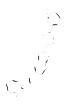 Cn1cccc(NC(=O)c2ccc3nn(C4CCC(c5cccnn5)CC4)cc3c2)c1=O